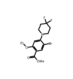 CCOc1cc(N2CCC(F)(F)CC2)c(Br)cc1C(=O)OC